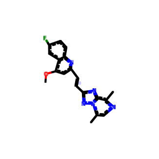 COc1cc(/C=C/c2nc3c(C)ncc(C)n3n2)nc2ccc(F)cc12